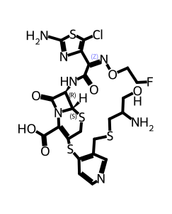 Nc1nc(/C(=N/OCCF)C(=O)N[C@@H]2C(=O)N3C(C(=O)O)=C(Sc4ccncc4CSCC(N)CO)CS[C@@H]23)c(Cl)s1